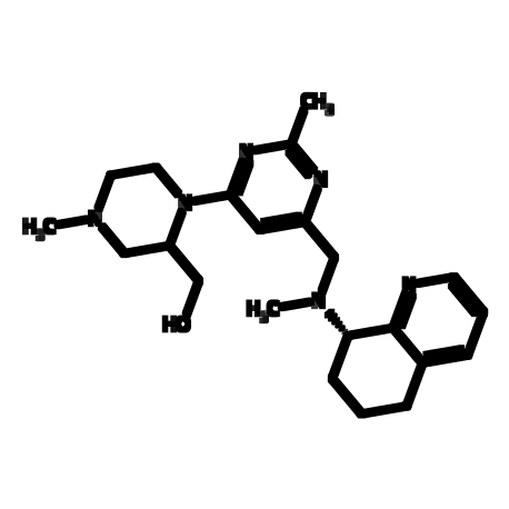 Cc1nc(CN(C)[C@H]2CCCc3cccnc32)cc(N2CCN(C)CC2CO)n1